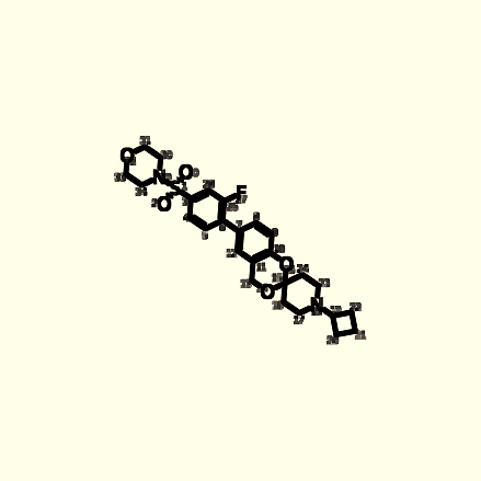 O=S(=O)(c1ccc(-c2ccc3c(c2)COC2(CCN(C4CCC4)CC2)O3)c(F)c1)N1CCOCC1